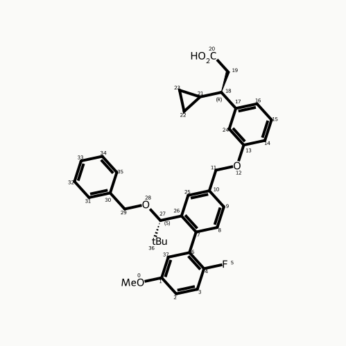 COc1ccc(F)c(-c2ccc(COc3cccc([C@H](CC(=O)O)C4CC4)c3)cc2[C@@H](OCc2ccccc2)C(C)(C)C)c1